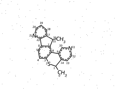 CC1Sc2ccc3c(c2-c2cnccc21)C(C)c1cccnc1-3